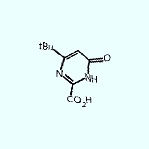 CC(C)(C)c1cc(=O)[nH]c(C(=O)O)n1